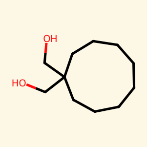 OCC1(CO)CCCCCCCC1